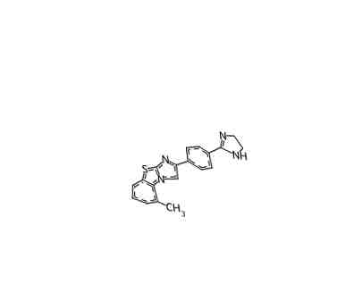 Cc1cccc2sc3nc(-c4ccc(C5=NCCN5)cc4)cn3c12